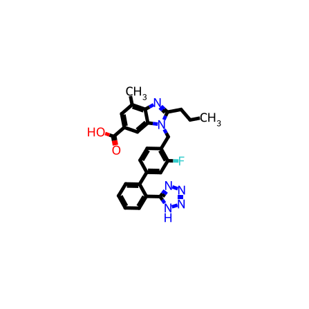 CCCc1nc2c(C)cc(C(=O)O)cc2n1Cc1ccc(-c2ccccc2-c2nnn[nH]2)cc1F